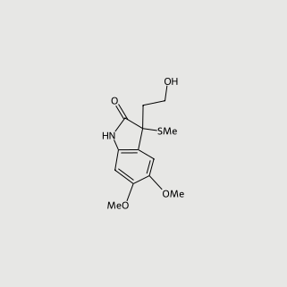 COc1cc2c(cc1OC)C(CCO)(SC)C(=O)N2